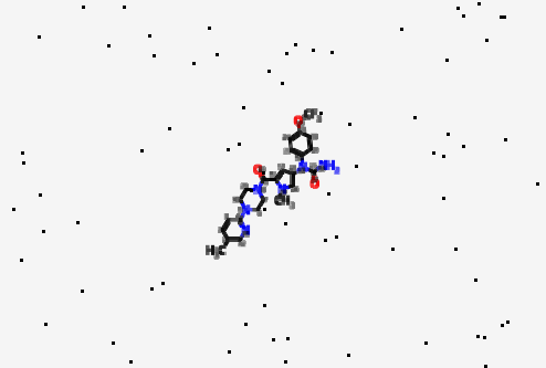 Cc1ccc(N2CCN(C(=O)c3cc(N(C(N)=O)c4ccc(OC(F)(F)F)cc4)cn3C)CC2)nc1